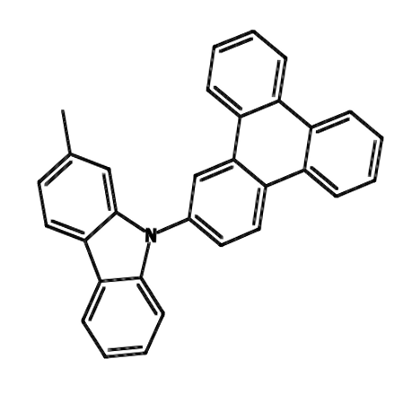 Cc1ccc2c3ccccc3n(-c3ccc4c5ccccc5c5ccccc5c4c3)c2c1